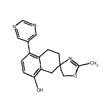 CC1=NC2(CCc3c(-c4cncnc4)ccc(O)c3C2)CO1